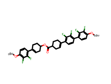 CCCCOc1ccc(C2=CCC(OC(=O)C3CC=C(c4ccc(-c5ccc(OCCCC)c(F)c5F)c(F)c4F)CC3)CC2)c(F)c1F